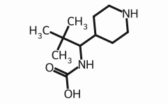 CC(C)(C)C(NC(=O)O)C1CCNCC1